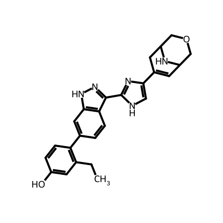 CCc1cc(O)ccc1-c1ccc2c(-c3nc(C4=CC5COCC(C4)N5)c[nH]3)n[nH]c2c1